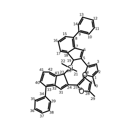 Cc1ccc(C2=Cc3c(-c4ccccc4)cccc3C2[Si](C)(C)C2C(c3ccc(C)o3)=Cc3c(-c4ccccc4)cccc32)o1